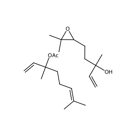 C=CC(C)(CCC=C(C)C)OC(C)=O.C=CC(C)(O)CCC1OC1(C)C